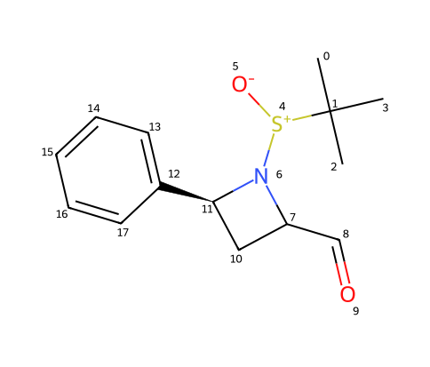 CC(C)(C)[S+]([O-])N1C(C=O)C[C@H]1c1ccccc1